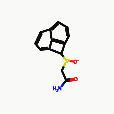 NC(=O)C[S+]([O-])C1c2cccc3cccc1c23